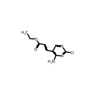 CCOC(=O)/C=C/c1cnc(Cl)nc1N